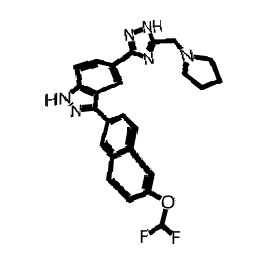 FC(F)Oc1ccc2cc(-c3n[nH]c4ccc(-c5n[nH]c(CN6CCCC6)n5)cc34)ccc2c1